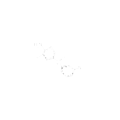 Nc1cccc(S(=O)(=O)c2ccc(N)c(Cl)c2)c1